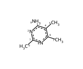 Cc1ncc(C)c(C)n1.N